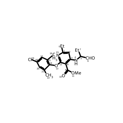 CCc1cc(NC(C=O)CC)c(C(=O)OC)c(Oc2c(C)cc(Cl)cc2C)n1